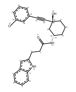 O=C(CCc1cc2ccccc2[nH]1)N[C@H]1CCC[C@@](O)(C#Cc2cccc(Cl)c2)C1